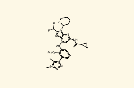 COc1c(Nc2cc(NC(=O)C3CC3)nc3c2nc(C(F)F)n3C2CCCCO2)cccc1-c1nnn(C)c1C